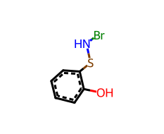 Oc1ccccc1SNBr